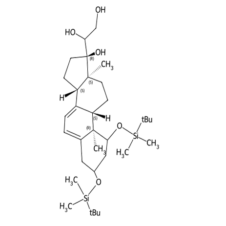 CC(C)(C)[Si](C)(C)OC1CC2=CC=C3[C@@H]4CC[C@](O)(C(O)CO)[C@@]4(C)CC[C@@H]3[C@@]2(C)C(O[Si](C)(C)C(C)(C)C)C1